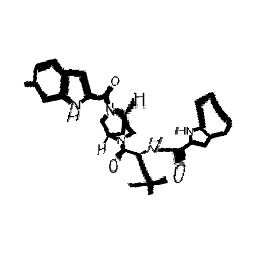 Cc1ccc2cc(C(=O)N3C[C@@H]4C[C@H]3CN4C(=O)[C@@H](NC(=O)c3cc4ccccc4[nH]3)C(C)(C)C)[nH]c2c1